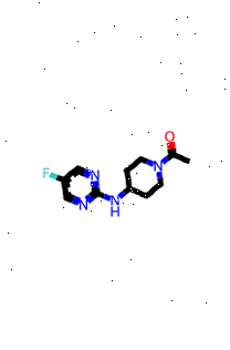 CC(=O)N1CCC(Nc2ncc(F)cn2)CC1